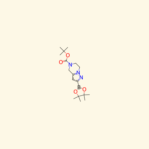 CC(C)(C)OC(=O)N1CCn2nc(B3OC(C)(C)C(C)(C)O3)cc2C1